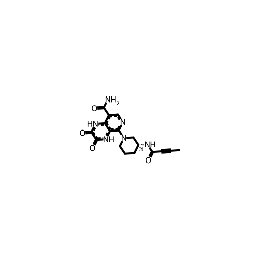 CC#CC(=O)N[C@@H]1CCCN(c2ncc(C(N)=O)c3[nH]c(=O)c(=O)[nH]c23)C1